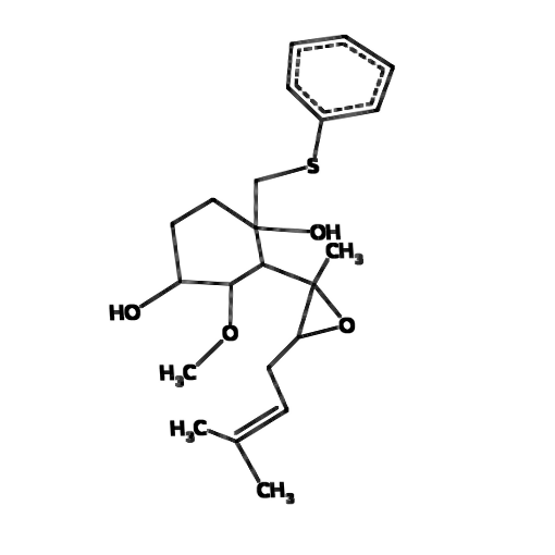 COC1C(O)CCC(O)(CSc2ccccc2)C1C1(C)OC1CC=C(C)C